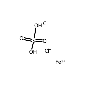 O=S(=O)(O)O.[Cl-].[Cl-].[Fe+2]